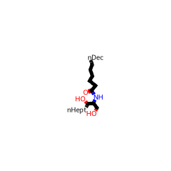 CCCCCCCCCCCCCCCC(=O)NC(CO)C(O)CCCCCCC